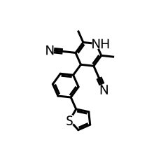 CC1=C(C#N)C(c2cccc(-c3cccs3)c2)C(C#N)=C(C)N1